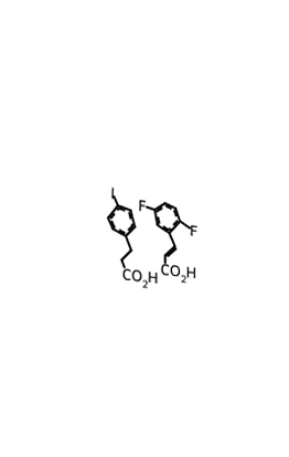 O=C(O)C=Cc1cc(F)ccc1F.O=C(O)CCc1ccc(I)cc1